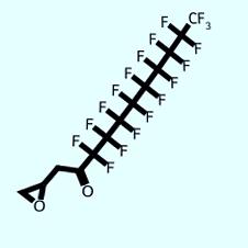 O=C(CC1CO1)C(F)(F)C(F)(F)C(F)(F)C(F)(F)C(F)(F)C(F)(F)C(F)(F)C(F)(F)C(F)(F)F